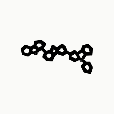 C1=Cc2c(oc3c(-c4cccc5c4oc4ccc(C6=CC7c8ccccc8N(c8ccccc8)C7C=C6)cc45)cccc23)CC1